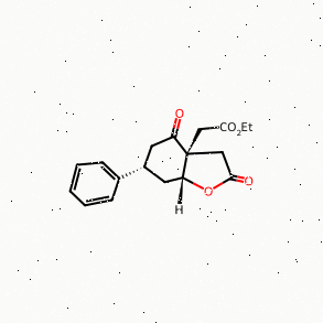 CCOC(=O)C[C@@]12CC(=O)O[C@@H]1C[C@H](c1ccccc1)CC2=O